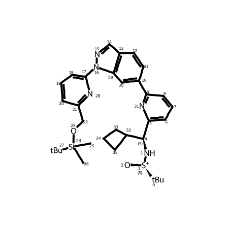 CC(C)(C)[S@@+]([O-])N[C@H](c1cccc(-c2ccc3cnn(-c4cccc(CO[Si](C)(C)C(C)(C)C)n4)c3c2)n1)C1CCC1